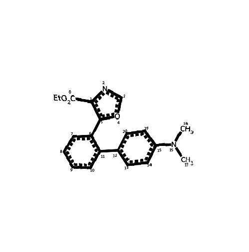 CCOC(=O)c1ncoc1-c1ccccc1-c1ccc(N(C)C)cc1